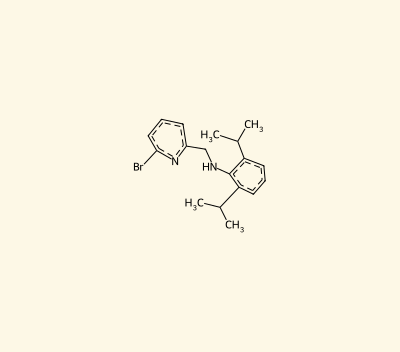 CC(C)c1cccc(C(C)C)c1NCc1cccc(Br)n1